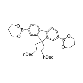 CCCCCCCCCCCCC1(CCCCCCCCCCCC)c2cc(B3OCCCO3)ccc2-c2ccc(B3OCCCO3)cc21